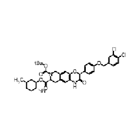 CC(C)[C@@H]1CC[C@@H](C)CC1OC(=O)[C@@H]1Cc2cc3c(cc2CN1C(=O)OC(C)(C)C)O[C@@H](c1ccc(OCc2ccc(Cl)c(Cl)c2)cc1)C(=O)N3